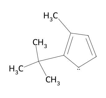 CC1=C(C(C)(C)C)[C]C=C1